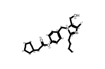 CCCCc1nc(I)c(CO)n1Cc1ccc(OC(=O)CC2CCCC2)cc1